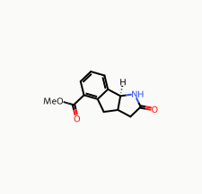 COC(=O)c1cccc2c1CC1CC(=O)N[C@H]21